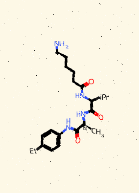 CCc1ccc(NC(=O)[C@H](C)NC(=O)C(NC(=O)CCCCCN)C(C)C)cc1